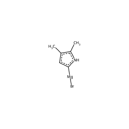 Cc1c[c]([Mg][Br])[nH]c1C